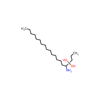 CCCCCCCCCCCCCCCC(N)[Si](O)(O)CCC